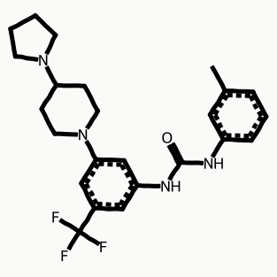 Cc1cccc(NC(=O)Nc2cc(N3CCC(N4CCCC4)CC3)cc(C(F)(F)F)c2)c1